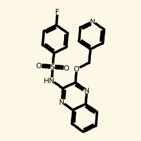 O=S(=O)(Nc1nc2ccccc2nc1OCc1ccncc1)c1ccc(F)cc1